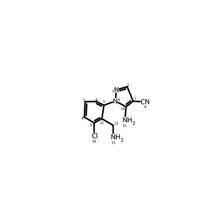 N#Cc1cnn(-c2cccc(Cl)c2CN)c1N